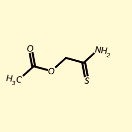 CC(=O)OCC(N)=S